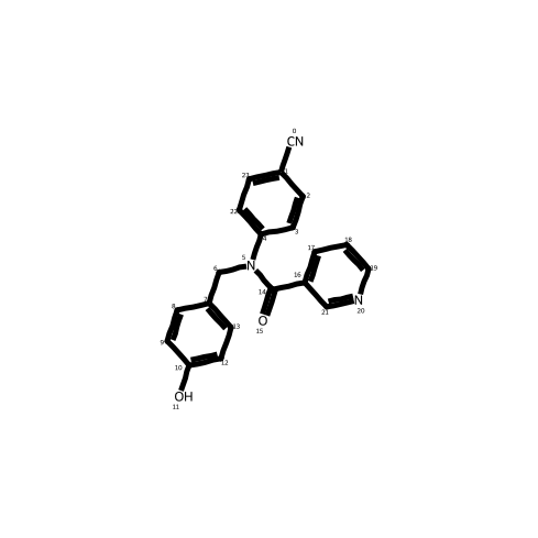 N#Cc1ccc(N(Cc2ccc(O)cc2)C(=O)c2cccnc2)cc1